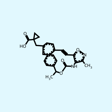 Cc1noc(C#Cc2ccc(CC3(C(=O)O)CC3)cc2)c1NC(=O)OC(C)c1ccccc1